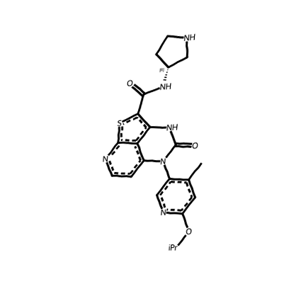 Cc1cc(OC(C)C)ncc1N1C(=O)Nc2c(C(=O)N[C@@H]3CCNC3)sc3nccc1c23